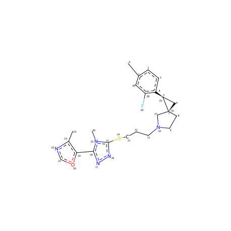 Cc1ccc([C@H]2C[C@]23CCN(CCCSc2nnc(-c4ocnc4C)n2C)C3)c(F)c1